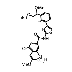 CCCCOCC(OC)c1cccc(-c2csc(NC(=O)c3cc(Cl)c(C=C(OC)C(=O)O)c(Cl)c3)n2)c1F